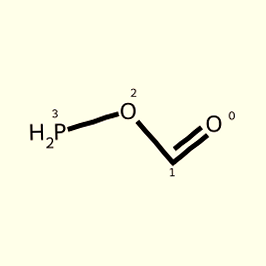 O=COP